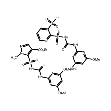 CCOC(=O)c1cnn(C)c1S(=O)(=O)NC(=O)Nc1nc(OC)cc(OC)n1.CCS(=O)(=O)c1cccnc1S(=O)(=O)NC(=O)Nc1nc(OC)cc(OC)n1